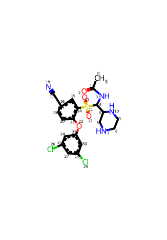 CC(=O)NC(C1CNCCN1)S(=O)(=O)c1cc(C#N)ccc1Oc1cc(Cl)cc(Cl)c1